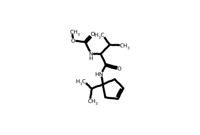 COC(=O)NC(C(=O)NC1(C(C)C)CC=CC1)C(C)C